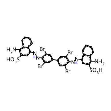 Nc1c(S(=O)(=O)O)cc(/N=N/c2c(Br)cc(-c3cc(Br)c(/N=N/c4cc(S(=O)(=O)O)c(N)c5ccccc45)c(Br)c3)cc2Br)c2ccccc12